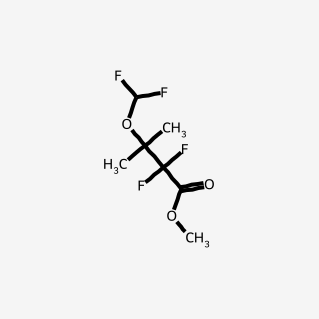 COC(=O)C(F)(F)C(C)(C)OC(F)F